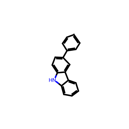 [c]1ccc(-c2ccc3[nH]c4ccccc4c3c2)cc1